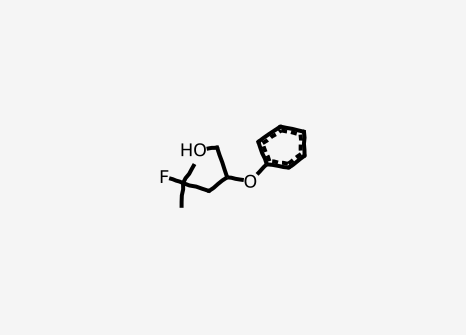 CC(C)(F)CC(CO)Oc1ccccc1